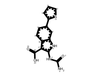 NC(=O)Nc1[nH]c2cc(-c3cccs3)ccc2c1C(=O)O